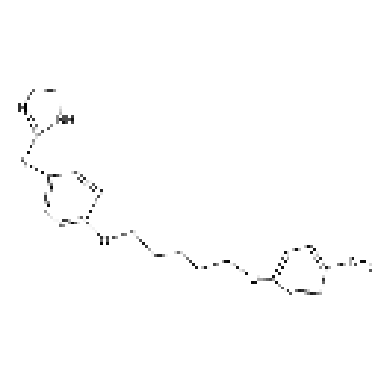 Nc1ccc(OCCCCCOc2ccc(NC3=NCCN3)cc2)cc1